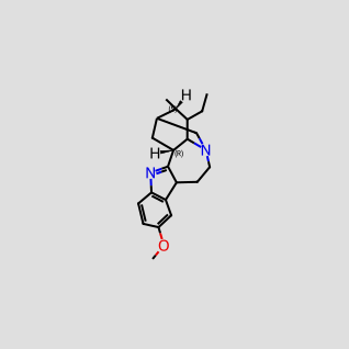 CCC1C2[C@H]3CC(CN2CCC2C3=Nc3ccc(OC)cc32)[C@@H]1C